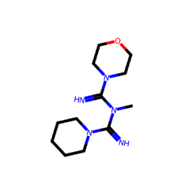 CN(C(=N)N1CCCCC1)C(=N)N1CCOCC1